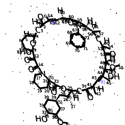 CO[C@H]1C[C@@H]2CC[C@@H](C)[C@@](O)(O2)C(=O)C(=O)N2CCCC[C@H]2C(=O)O[C@H]([C@H](C)C[C@@H]2CC[C@@H](O)[C@H](OC)C2)CC(=O)[C@H](C)/C=C(\C)[C@@H](O)[C@@H](OC)C(=O)[C@H](C)C[C@H](C)[C@@H]2C=C[C@H](/C=C/1C)ON2c1ccccc1